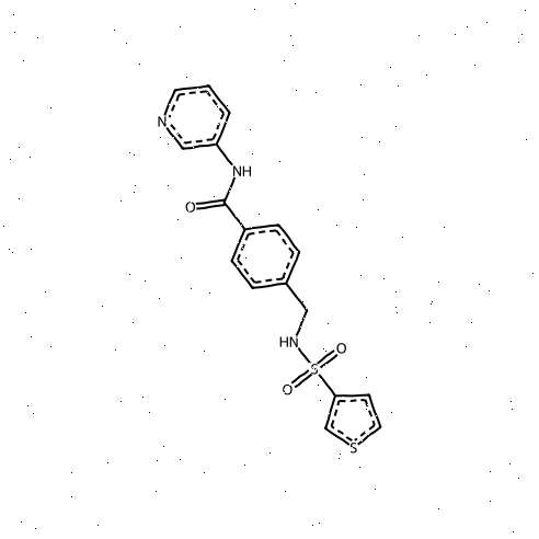 O=C(Nc1cccnc1)c1ccc(CNS(=O)(=O)c2ccsc2)cc1